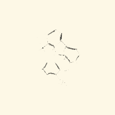 Cc1ccccc1N(C)c1cccc2c1sc1c(C(F)(F)F)cccc12